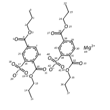 CCCOC(=O)c1ccc(C(=O)OCCC)c(S(=O)(=O)[O-])c1.CCCOC(=O)c1ccc(C(=O)OCCC)c(S(=O)(=O)[O-])c1.[Mg+2]